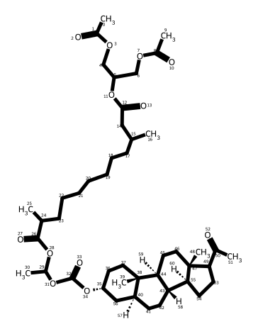 CC(=O)OCC(COC(C)=O)OC(=O)CC(C)CCCCCCCC(C)C(=O)OC(C)OC(=O)O[C@@H]1CC[C@@]2(C)[C@@H](CC[C@@H]3[C@@H]2CC[C@]2(C)C(C(C)=O)CC[C@@H]32)C1